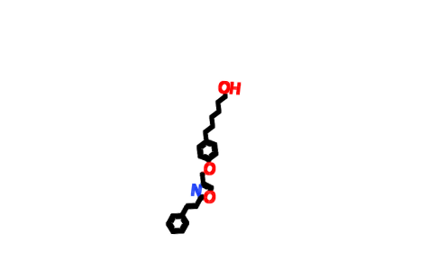 OCCCCCCc1ccc(OCc2coc(C=Cc3ccccc3)n2)cc1